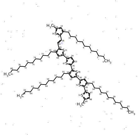 CCCCCCCCCCCCc1cc(C)sc1/C=C/c1sc(-c2ccc(-c3sc(-c4cc(CCCCCCCCCCCC)c(-c5ccc(C)s5)s4)cc3CCCCCCCCCCCC)s2)cc1CCCCCCCCCCCC